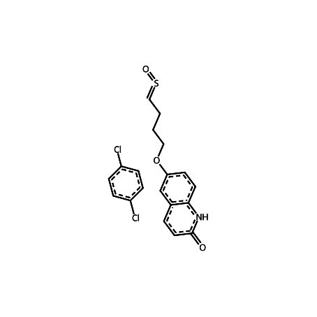 Clc1ccc(Cl)cc1.O=S=CCCCOc1ccc2[nH]c(=O)ccc2c1